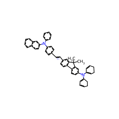 CC1(C)c2cc(/C=C/c3ccc(N(c4ccccc4)c4ccc5ccccc5c4)cc3)ccc2-c2ccc(N(C3=CCCC=C3)C3=CC=CCC3)cc21